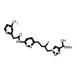 CNC(O)c1cn(CC(F)CCc2ccc(NC(=O)Cc3cc(C(F)(F)F)ccn3)nn2)nn1